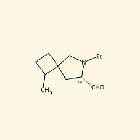 CCN1CC2(CCC2C)C[C@H]1C=O